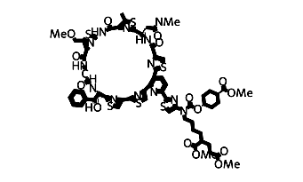 CNC(=O)C[C@@H]1NC(=O)c2csc(n2)-c2ccc(-c3nc(N(CCCCC(CCC(=O)OC)C(=O)OC)C(=O)O[C@H]4CC[C@H](C(=O)OC)CC4)cs3)nc2-c2csc(n2)-c2csc(n2)[C@H]([C@@H](O)c2ccccc2)NC(=O)CNC(=O)c2nc(sc2COC)NC(=O)c2nc1sc2C